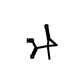 CC1(C(=O)O)CC1=O